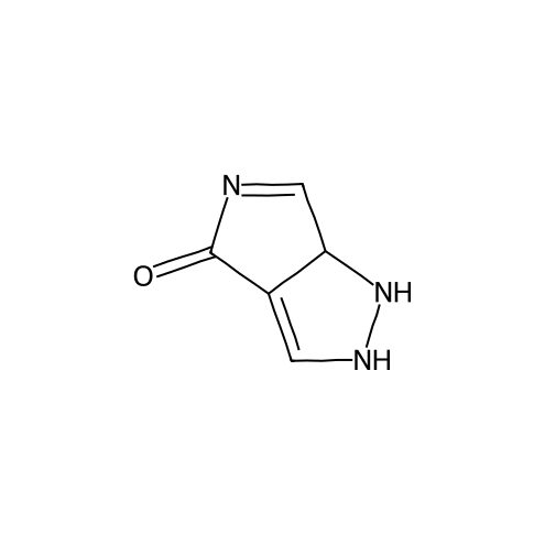 O=C1N=CC2NNC=C12